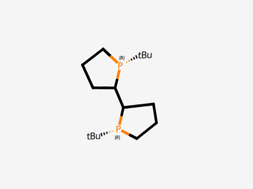 CC(C)(C)[P@@]1CCCC1C1CCC[P@]1C(C)(C)C